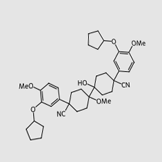 COc1ccc(C2(C#N)CCC(O)(C3(OC)CCC(C#N)(c4ccc(OC)c(OC5CCCC5)c4)CC3)CC2)cc1OC1CCCC1